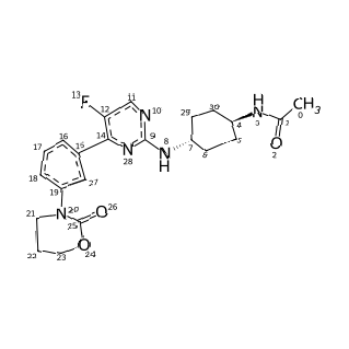 CC(=O)N[C@H]1CC[C@H](Nc2ncc(F)c(-c3cccc(N4CCCOC4=O)c3)n2)CC1